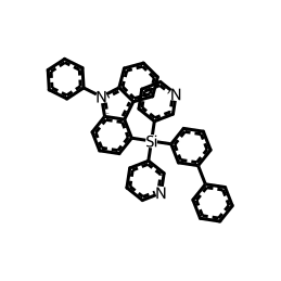 c1ccc(-c2cccc([Si](c3cccnc3)(c3cccnc3)c3cccc4c3c3ccccc3n4-c3ccccc3)c2)cc1